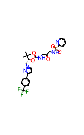 CC(C)(C)[C@@H](Cn1ccc(-c2ccc(C(F)(F)F)cc2)n1)OC(=O)NCC(=O)CNS(=O)(=O)c1ccccn1